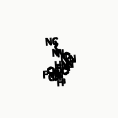 Cc1c(F)cccc1S(=O)(=O)Nc1ccc(F)c(Nc2ncnc3ccc(-n4cnc(C=CC#N)c4)nc23)c1F